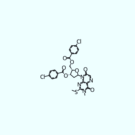 CSc1nc2c(ncc(=O)n2C2C[C@H](OC(=O)c3ccc(Cl)cc3)[C@@H](COC(=O)c3ccc(Cl)cc3)O2)c(=O)n1C